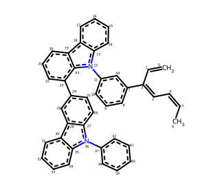 C=C/C(=C\C=C/C)c1cccc(-n2c3ccccc3c3cccc(-c4ccc5c(c4)c4ccccc4n5-c4ccccc4)c32)c1